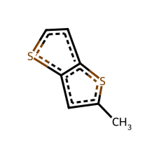 Cc1cc2sccc2s1